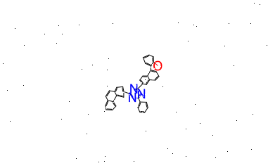 c1ccc(-c2nc(-c3ccc4c(ccc5oc6ccccc6c54)c3)nc(-c3ccc4ccc5ccccc5c4c3)n2)cc1